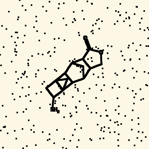 NC1CC23CC12C1C2CC(C4C(=O)OCC24)C13